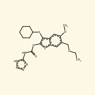 CCOCc1cc2sc(OC(=O)Nc3nnn[nH]3)c(SC3CCCCC3)c2cc1OC